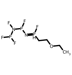 CCOCC/[PH](F)=N/P(F)N(F)P(F)F